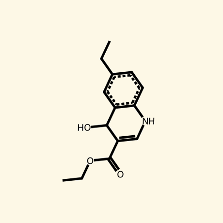 CCOC(=O)C1=CNc2ccc(CC)cc2C1O